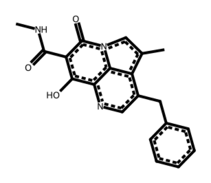 CNC(=O)c1c(O)c2ncc(Cc3ccccc3)c3c(C)cn(c1=O)c23